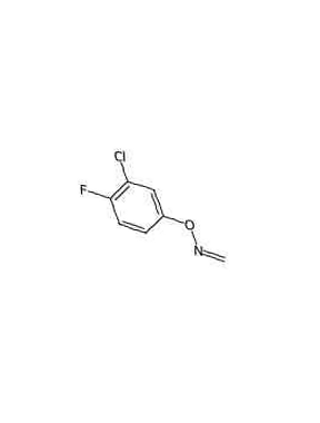 C=NOc1ccc(F)c(Cl)c1